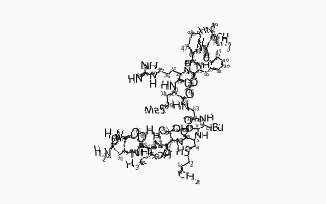 C=CCSCC(NC(=O)C(NC(=O)CNC(=O)C(CCSC)NC(=O)C(CCCNC(=N)N)NC(=O)C(Cc1ccccc1)NC(=O)C1CCCN1C(=O)C(C)NI)C(C)CC)C(=O)NC(C(=O)NC(C(=O)NC(CC(N)=O)C(N)=O)C(C)O)C(C)O